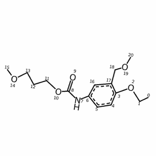 CCOc1ccc(NC(=O)OCCCOC)cc1COC